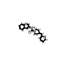 O=C(Nc1cnc2ccccc2c1)N1CCC(=Cc2ccccn2)CC1